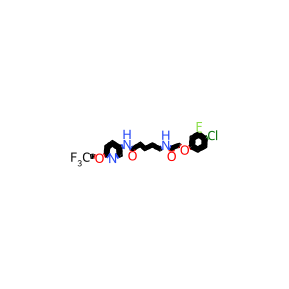 O=C(COc1ccc(Cl)c(F)c1)NCCCCC(=O)Nc1ccc(OCC(F)(F)F)nc1